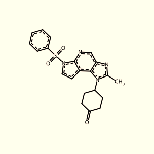 Cc1nc2cnc3c(ccn3S(=O)(=O)c3ccccc3)c2n1C1CCC(=O)CC1